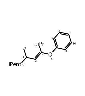 CCCC(C)C(C)/C=C(/Oc1ccccc1)C(C)C